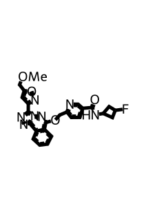 COCc1cc(-c2nnc3c4ccccc4c(OCc4ccc(C(=O)NC5CC(F)C5)cn4)nn23)no1